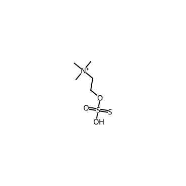 C[N+](C)(C)CCOS(=O)(O)=S